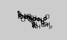 CC1(C)CCC(CN2CCN(c3ccc(C(=O)NS(=O)(=O)c4cnc(NCC5CN(C6CC6)CCO5)c(Cl)c4)c(Oc4cnc5[nH]ccc5c4)c3)CC2)=C(c2ccc(Cl)cc2)C1